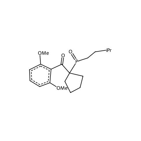 COc1cccc(OC)c1C(=O)C1([P](=O)CCC(C)C)CCCC1